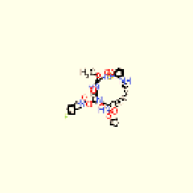 C=C[C@@H]1C[C@@]12NC(=O)[C@@H]1C[C@@H](OC(=O)N3Cc4ccc(F)cc4C3)CN1C(=O)[C@@H](NC(=O)OC1CCCC1)CCCCCCCNc1ccccc1S(=O)(=O)NC2=O